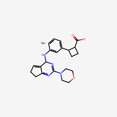 O=C([O-])C1CCC1c1cccc(NC2N=C(N3CCOCC3)N=C3CCC=C32)c1.[Na+]